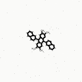 Cc1cc2c(-c3ccc4ccccc4c3)c3cc(C)c(C)cc3c(-c3ccc4ccccc4c3)c2cc1C